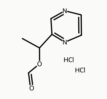 CC(OC=O)c1cnccn1.Cl.Cl